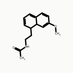 COC1=CC2C(=CC=CC2CCNC(C)=O)C=C1